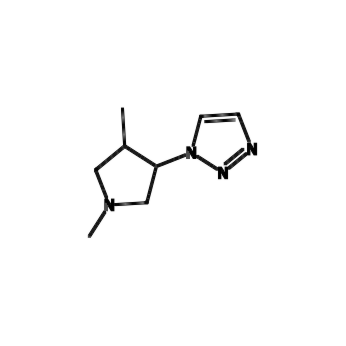 CC1CN(C)CC1n1ccnn1